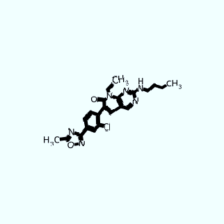 CCCCNc1ncc2cc(-c3ccc(-c4noc(C)n4)cc3Cl)c(=O)n(CC)c2n1